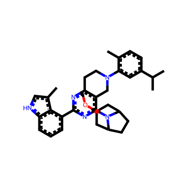 COC1CC2CCC(C1)N2c1nc(-c2cccc3[nH]cc(C)c23)nc2c1CN(c1cc(C(C)C)ccc1C)CC2